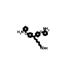 CCCCCCCCCCCCCCCCC(c1ccc(Oc2ccccc2N)cc1)c1ccc(Oc2ccccc2N)cc1